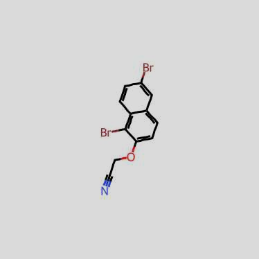 N#CCOc1ccc2cc(Br)ccc2c1Br